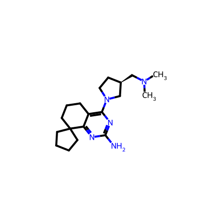 CN(C)C[C@@H]1CCN(c2nc(N)nc3c2CCCC32CCCC2)C1